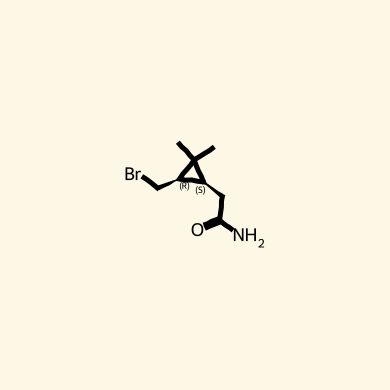 CC1(C)[C@H](CBr)[C@@H]1CC(N)=O